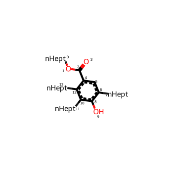 CCCCCCCOC(=O)c1cc(CCCCCCC)c(O)c(CCCCCCC)c1CCCCCCC